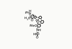 COc1nc(-c2cccc(-c3cccc(-c4cc5c(=O)n(C)c(CNC(C)C)nn5c4)c3Cl)c2Cl)ccc1CNC[C@@H]1CCC(=O)N1